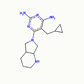 Nc1nc(N)c(CC2CC2)c(N2CC3CCCNC3C2)n1